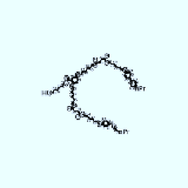 CCCC=C=C=Cc1ccc(OCCCCCCOC(=O)CCC(=O)OCCCCCCOc2ccc(OCCCCCCOC(=O)CCC(=O)OCCCCCCOc3ccc(C4CCC(CCC)CC4)cc3)cc2C(=O)OCCCCCCO)cc1